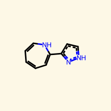 C1=CC=C(c2cc[nH]n2)NC=C1